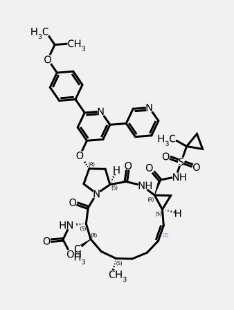 CC(C)Oc1ccc(-c2cc(O[C@@H]3C[C@H]4C(=O)N[C@]5(C(=O)NS(=O)(=O)C6(C)CC6)C[C@H]5/C=C\CC[C@H](C)C[C@@H](C)[C@H](NC(=O)O)C(=O)N4C3)cc(-c3cccnc3)n2)cc1